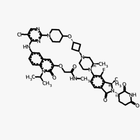 CNC(=O)COc1cc2cc(Nc3nc(N4CCC(O[C@H]5C[C@H](N6CCN(c7ccc8c(c7F)[C@@H](C)N([C@H]7CCC(=O)NC7=O)C8=O)[C@H](C)C6)C5)CC4)ncc3Cl)ccc2n(C(C)C)c1=O